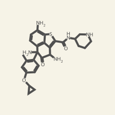 Cc1cc(OC2CC2)ccc1C1(N)C(=O)C(N)c2c(C(=O)NC3CCCNC3)sc3c(N)ccc1c23